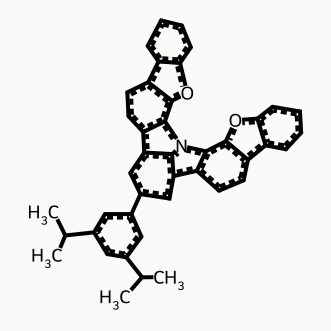 CC(C)c1cc(-c2cc3c4ccc5c6ccccc6oc5c4n4c3c(c2)c2ccc3c5ccccc5oc3c24)cc(C(C)C)c1